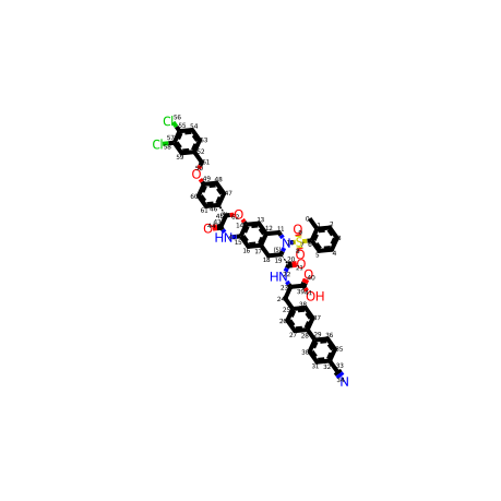 Cc1ccccc1S(=O)(=O)N1Cc2cc3c(cc2C[C@H]1C(=O)NC(Cc1ccc(-c2ccc(C#N)cc2)cc1)C(=O)O)NC(=O)[C@H](c1ccc(OCc2ccc(Cl)c(Cl)c2)cc1)O3